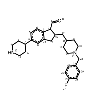 O=CC1c2ccc(C3CCNCC3)cc2CC1CC1CCN(Cc2ccc(F)cc2)CC1